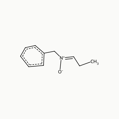 CCC=[N+]([O-])Cc1ccccc1